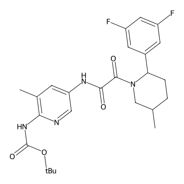 Cc1cc(NC(=O)C(=O)N2CC(C)CCC2c2cc(F)cc(F)c2)cnc1NC(=O)OC(C)(C)C